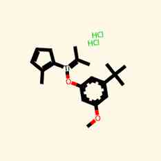 COc1cc([O][Ti]([C]2=C(C)C=CC2)=[C](C)C)cc(C(C)(C)C)c1.Cl.Cl